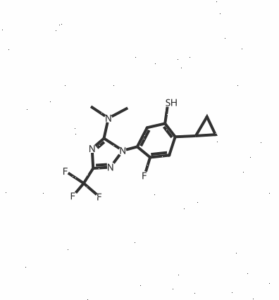 CN(C)c1nc(C(F)(F)F)nn1-c1cc(S)c(C2CC2)cc1F